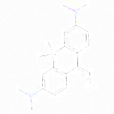 CCC=C1c2ccc(N(C)C)cc2[Si](C)(C)c2cc(N(C)C)ccc21